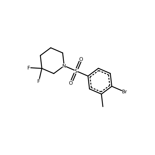 Cc1cc(S(=O)(=O)N2CCCC(F)(F)C2)ccc1Br